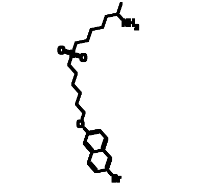 CC(N)CCCCCS(=O)(=O)CCCCCCOc1ccc2cc(Br)ccc2c1